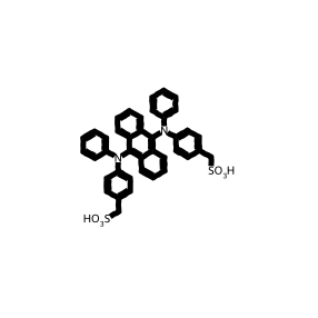 O=S(=O)(O)Cc1ccc(N(c2ccccc2)c2c3ccccc3c(N(c3ccccc3)c3ccc(CS(=O)(=O)O)cc3)c3ccccc23)cc1